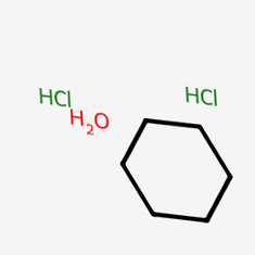 C1CCCCC1.Cl.Cl.O